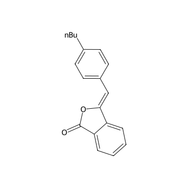 CCCCc1ccc(C=C2OC(=O)c3ccccc32)cc1